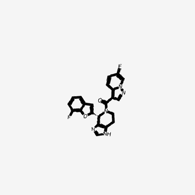 O=C(c1cnn2cc(F)ccc12)N1CCc2[nH]cnc2[C@@H]1c1cc2cccc(F)c2o1